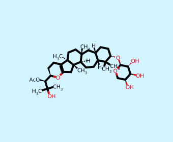 CC(=O)O[C@@H]([C@H]1CCC2=C(C[C@@]3(C)[C@@H]4CC[C@@H]5[C@@H](CC[C@H](O[C@@H]6OC[C@H](O)[C@H](O)[C@H]6O)C5(C)C)C[C@@]4(C)CC[C@]23C)O1)C(C)(C)O